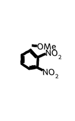 COC.O=[N+]([O-])c1ccccc1[N+](=O)[O-]